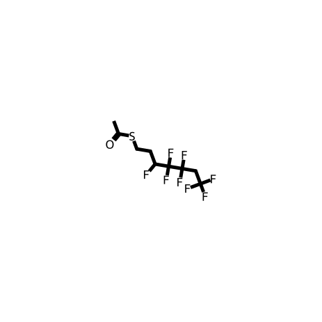 CC(=O)SCCC(F)C(F)(F)C(F)(F)CC(F)(F)F